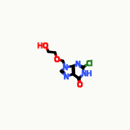 O=c1[nH]c(Cl)nc2c1ncn2COCCO